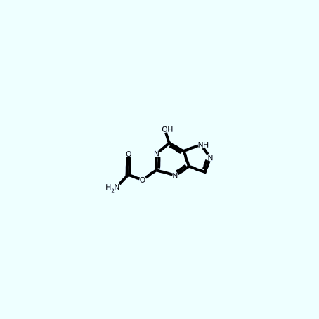 NC(=O)Oc1nc(O)c2[nH]ncc2n1